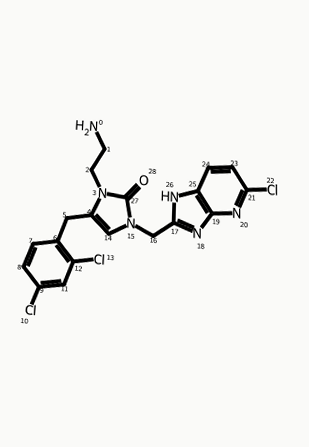 NCCn1c(Cc2ccc(Cl)cc2Cl)cn(Cc2nc3nc(Cl)ccc3[nH]2)c1=O